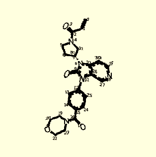 C=CC(=O)N1CC[C@@H](n2c(=O)n(-c3ccc(C(=O)N4CCOCC4)cc3)c3cnccc32)C1